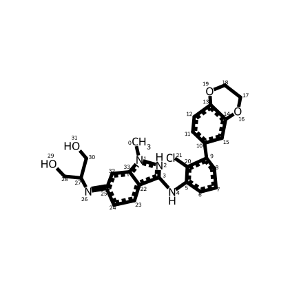 Cn1[nH]c(Nc2cccc(-c3ccc4c(c3)OCCO4)c2Cl)c2ccc(=NC(CO)CO)cc1-2